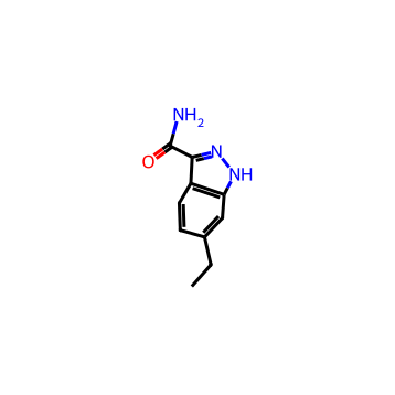 CCc1ccc2c(C(N)=O)n[nH]c2c1